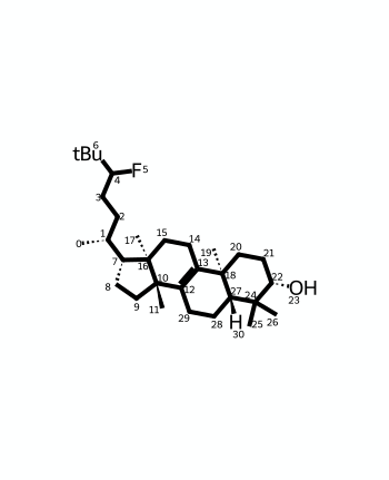 C[C@H](CCC(F)C(C)(C)C)[C@H]1CC[C@@]2(C)C3=C(CC[C@]12C)[C@@]1(C)CC[C@H](O)C(C)(C)[C@@H]1CC3